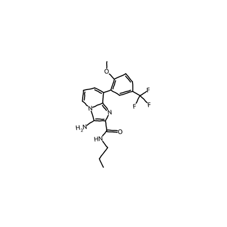 CCCNC(=O)c1nc2c(-c3cc(C(F)(F)F)ccc3OC)cccn2c1N